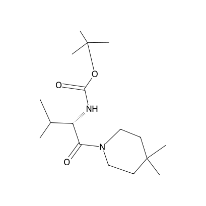 CC(C)[C@H](NC(=O)OC(C)(C)C)C(=O)N1CCC(C)(C)CC1